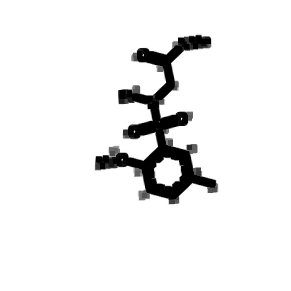 CCN(CC(=O)NC)S(=O)(=O)c1cc(C)ccc1OC